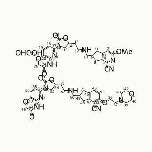 COc1cc2c(c(C#N)n1)CC(CNCCC1CN(c3ccc4c(n3)NC(=O)CO4)C(=O)O1)C2.N#Cc1c(OCCN2CCOCC2)ccc2c1CC(CNCCC1CN(c3ccc4c(n3)NC(=O)CO4)C(=O)O1)C2.O=CO